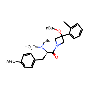 CCCCOC1(c2ccccc2C)CN(C(=O)[C@@H](Cc2ccc(OC)cc2)N(C(=O)O)C(C)(C)C)C1